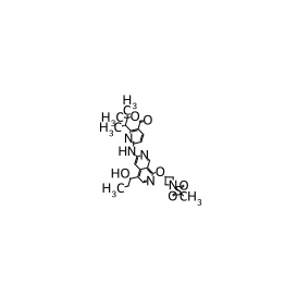 CC[C@@H](O)c1cnc(OC2CN(S(C)(=O)=O)C2)c2cnc(Nc3ccc4c(n3)[C@@H](C)C(C)(C)OC4=O)cc12